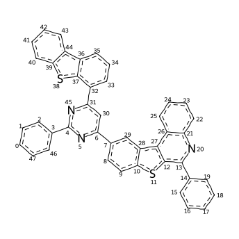 c1ccc(-c2nc(-c3ccc4sc5c(-c6ccccc6)nc6ccccc6c5c4c3)cc(-c3cccc4c3sc3ccccc34)n2)cc1